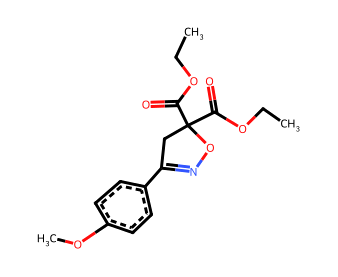 CCOC(=O)C1(C(=O)OCC)CC(c2ccc(OC)cc2)=NO1